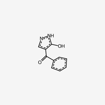 O=C(c1ccccc1)c1cn[nH]c1O